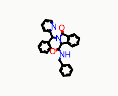 O=C(NCc1ccccc1)C1c2ccccc2C(=O)N1C(c1ccccc1)c1ccccn1